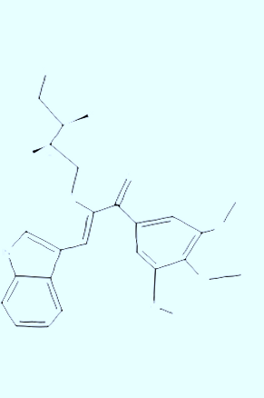 COc1cc(C(=O)C(=Cc2c[nH]c3ccccc23)SC[C@@H](O)[C@H](O)CO)cc(OC)c1OC